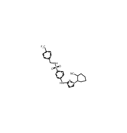 N#CC1CCCCC1n1ccc(Nc2ccc(S(=O)(=O)NCc3ccc(C(F)(F)F)cc3)cc2)n1